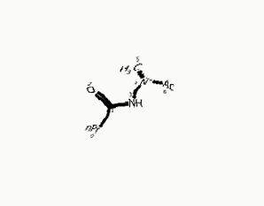 CCCC(=O)N[N+](C)C(C)=O